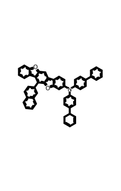 C1=CCC(c2ccc(N(c3ccc(-c4ccccc4)cc3)c3ccc4c(c3)oc3c(-c5ccc6ccccc6c5)c5c(cc34)oc3ccccc35)cc2)C=C1